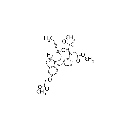 CC#C[C@@]1(O)CC[C@]2(Cc3cccc(N(CC(=O)OC)CC(=O)OC)c3)c3ccc(OCC(=O)OC)cc3CC[C@@H]2C1